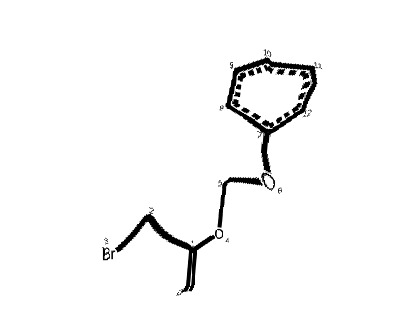 C=C(CBr)OCOc1ccccc1